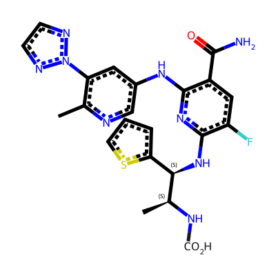 Cc1ncc(Nc2nc(N[C@H](c3cccs3)[C@H](C)NC(=O)O)c(F)cc2C(N)=O)cc1-n1nccn1